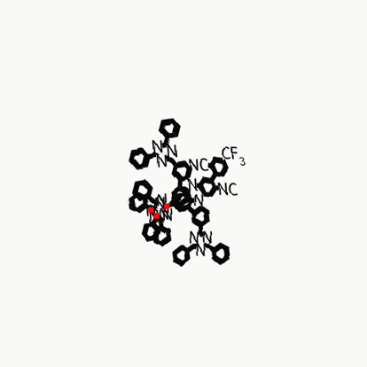 [C-]#[N+]c1cc(-n2c3ccc(-c4nc(-c5ccccc5)nc(-c5ccccc5)n4)cc3c3cc(-c4nc(-c5ccccc5)nc(-c5ccccc5)n4)ccc32)c(-n2c3ccc(-c4nc(-c5ccccc5)nc(-c5ccccc5)n4)cc3c3cc(-c4nc(-c5ccccc5)nc(-c5ccccc5)n4)ccc32)cc1-c1ccc(C(F)(F)F)cc1C#N